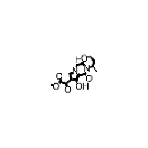 COC(=O)C(=O)c1cn2c(c1O)C(=O)N1[C@H](C)CCO[C@H]1C2